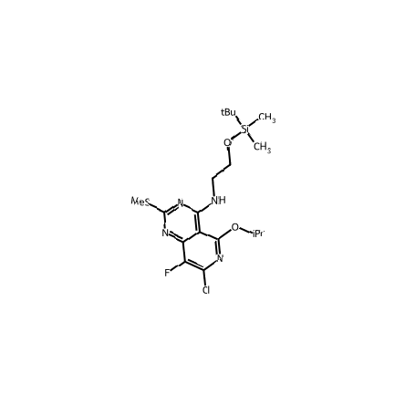 CSc1nc(NCCO[Si](C)(C)C(C)(C)C)c2c(OC(C)C)nc(Cl)c(F)c2n1